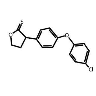 S=C1OCCC1c1ccc(Oc2ccc(Cl)cc2)cc1